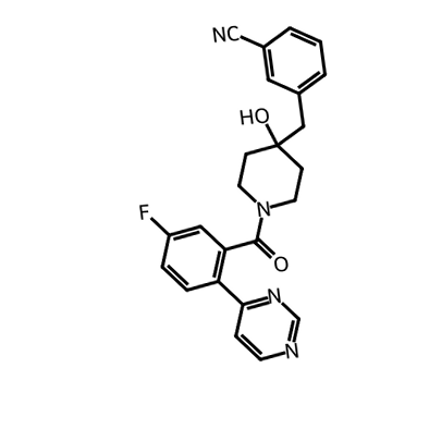 N#Cc1cccc(CC2(O)CCN(C(=O)c3cc(F)ccc3-c3ccncn3)CC2)c1